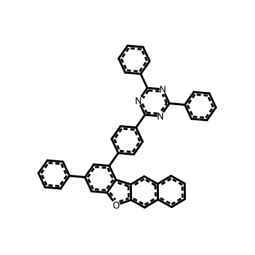 c1ccc(-c2cc(-c3ccc(-c4nc(-c5ccccc5)nc(-c5ccccc5)n4)cc3)c3c(c2)oc2cc4ccccc4cc23)cc1